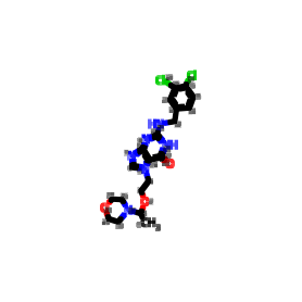 CC(OCCn1cnc2nc(NCc3ccc(Cl)c(Cl)c3)[nH]c(=O)c21)N1CCOCC1